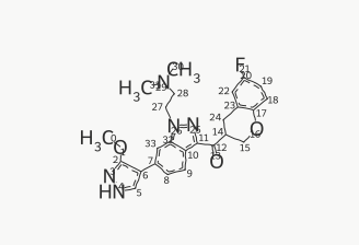 COc1n[nH]cc1-c1ccc2c(C(=O)C3COc4ccc(F)cc4C3)nn(CCN(C)C)c2c1